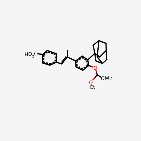 CCOC(OC)Oc1ccc(C(C)=Cc2ccc(C(=O)O)cc2)cc1C12CC3CC(CC(C3)C1)C2